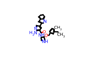 CCc1cc(CO[C@H]2CNC[C@@H]2NC(=O)c2cc(-c3cnc4ccccc4c3)cnc2N)ccc1C